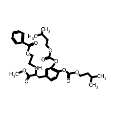 COC(=O)[C@H](Cc1ccc(OC(=O)OCCC(C)C)c(OC(=O)OCCC(C)C)c1)NCCOC(=O)c1ccccc1